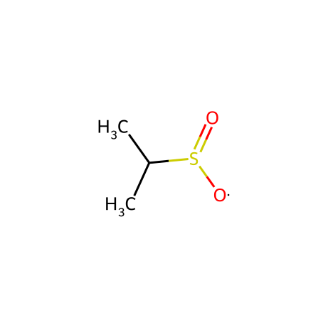 CC(C)S([O])=O